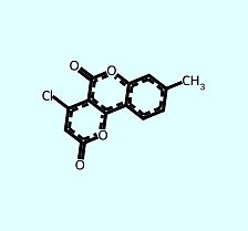 Cc1ccc2c(c1)oc(=O)c1c(Cl)cc(=O)oc12